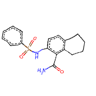 NC(=O)c1c(NS(=O)(=O)c2ccccc2)ccc2c1CCCC2